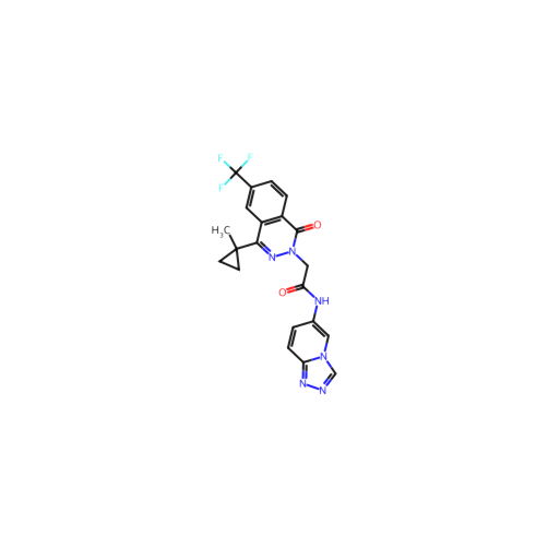 CC1(c2nn(CC(=O)Nc3ccc4nncn4c3)c(=O)c3ccc(C(F)(F)F)cc23)CC1